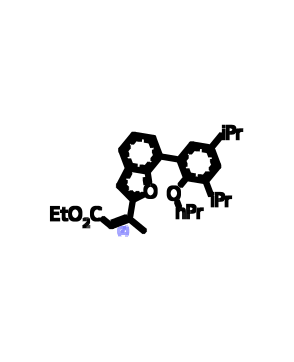 CCCOc1c(-c2cccc3cc(/C(C)=C\C(=O)OCC)oc23)cc(C(C)C)cc1C(C)C